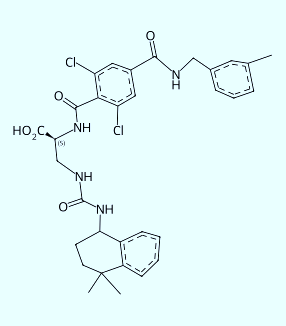 Cc1cccc(CNC(=O)c2cc(Cl)c(C(=O)N[C@@H](CNC(=O)NC3CCC(C)(C)c4ccccc43)C(=O)O)c(Cl)c2)c1